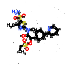 CCS(=O)(=O)OC(C(=O)N(C)c1nc(C)c(S(N)(=O)=O)s1)c1ccc(-c2ccccn2)cc1